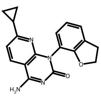 Nc1nc(=O)n(-c2cccc3c2OCC3)c2nc(C3CC3)ccc12